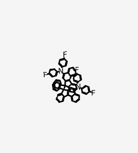 Fc1ccc(N(c2ccc(F)cc2)c2cc3c(c4ccccc24)-c2ccccc2C3(c2ccccc2)C2(c3ccccc3)c3ccccc3-c3c2cc(N(c2ccc(F)cc2)c2ccc(F)cc2)c2ccccc32)cc1